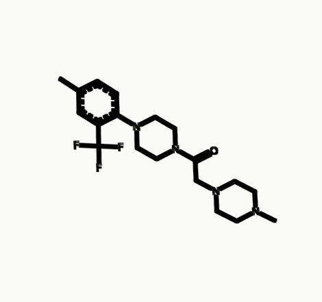 Cc1ccc(N2CCN(C(=O)CN3CCN(C)CC3)CC2)c(C(F)(F)F)c1